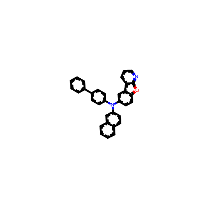 c1ccc(-c2ccc(N(c3ccc4ccccc4c3)c3ccc4oc5ncccc5c4c3)cc2)cc1